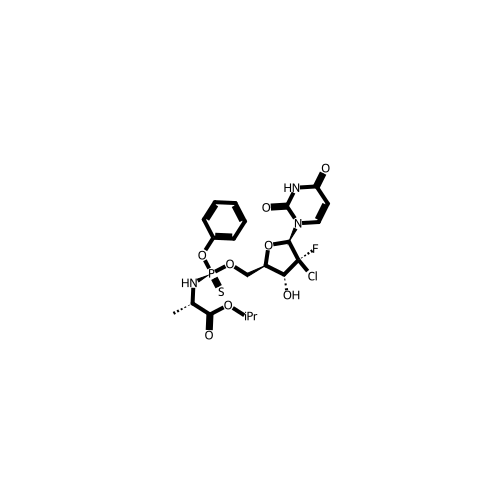 CC(C)OC(=O)[C@H](C)N[P@](=S)(OC[C@H]1O[C@@H](n2ccc(=O)[nH]c2=O)[C@@](F)(Cl)[C@@H]1O)Oc1ccccc1